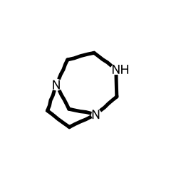 C1CN2CCN(CN1)C2